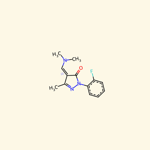 CC1=NN(c2ccccc2F)C(=O)/C1=C\N(C)C